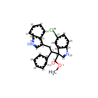 COC(=O)C1(C(Cc2c[nH]c3ccccc23)c2ccccc2)C=Nc2ccc(Cl)cc21